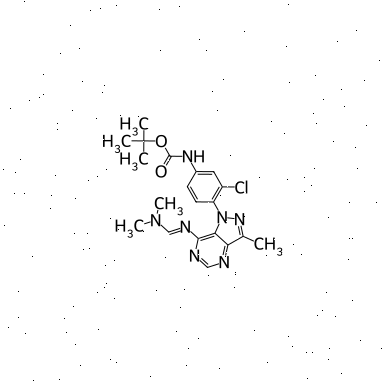 Cc1nn(-c2ccc(NC(=O)OC(C)(C)C)cc2Cl)c2c(/N=C/N(C)C)ncnc12